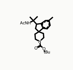 CC(=O)NC(C)(C)C1CC2(CCN(C(=O)OC(C)(C)C)CC2)c2ccc(C)cc21